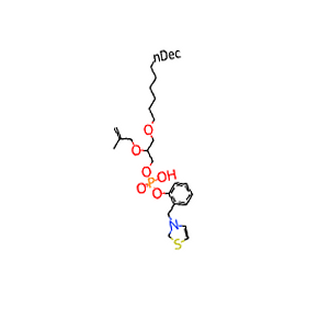 C=C(C)COC(COCCCCCCCCCCCCCCCC)COP(=O)(O)Oc1ccccc1CN1C=CSC1